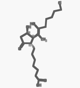 CC(=C(O)CCCCCCl)[C@@H]1[C@H](O)CC(=O)[C@H]1CCCCCCC(=O)O